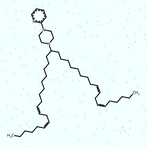 CCCCC/C=C\C/C=C\CCCCCCCCC(CCCCCCCC/C=C\C/C=C\CCCCC)N1CCN(c2ccccn2)CC1